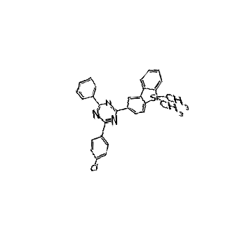 C[Si]1(C)c2ccccc2-c2cc(-c3nc(-c4ccccc4)nc(-c4ccc(Cl)cc4)n3)ccc21